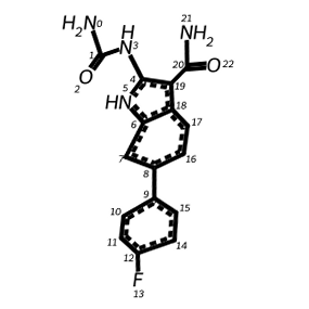 NC(=O)Nc1[nH]c2cc(-c3ccc(F)cc3)ccc2c1C(N)=O